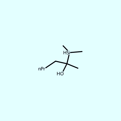 CCCCC(C)(O)[SiH](C)C